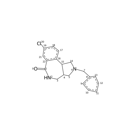 O=C1NCC2CN(Cc3ccccc3)CC2c2ccc(Cl)cc21